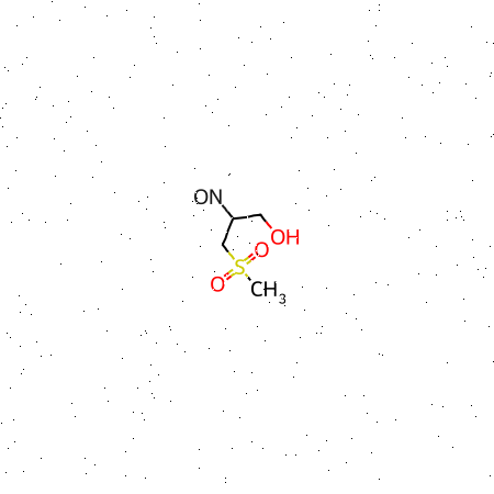 CS(=O)(=O)CC(CO)N=O